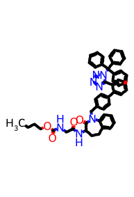 CCCCOC(=O)NCC(=O)NC1CCc2ccccc2N(Cc2ccc(-c3ccccc3-c3nnnn3C(c3ccccc3)(c3ccccc3)c3ccccc3)cc2)C1=O